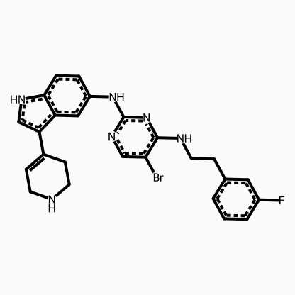 Fc1cccc(CCNc2nc(Nc3ccc4[nH]cc(C5=CCNCC5)c4c3)ncc2Br)c1